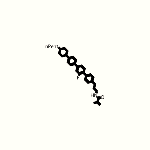 C=C(C)C(=O)NCCCc1ccc(-c2ccc(-c3ccc(C4CCC(CCCCC)CC4)cc3)cc2F)cc1